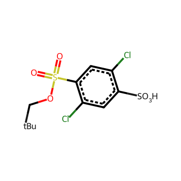 CC(C)(C)COS(=O)(=O)c1cc(Cl)c(S(=O)(=O)O)cc1Cl